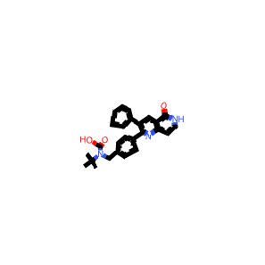 CC(C)(C)N(Cc1ccc(-c2nc3cc[nH]c(=O)c3cc2-c2ccccc2)cc1)C(=O)O